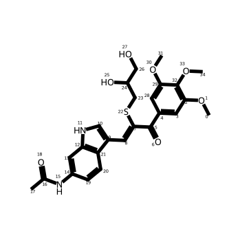 COc1cc(C(=O)C(=Cc2c[nH]c3cc(NC(C)=O)ccc23)SCC(O)CO)cc(OC)c1OC